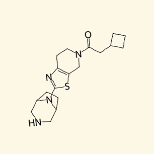 O=C(CC1CCC1)N1CCc2nc(N3C4CCC3CNC4)sc2C1